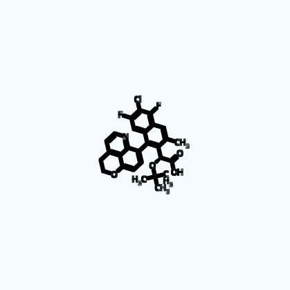 Cc1cc2c(F)c(Cl)c(F)cc2c(-c2ccc3c4c(ccnc24)CCO3)c1[C@H](OC(C)(C)C)C(=O)O